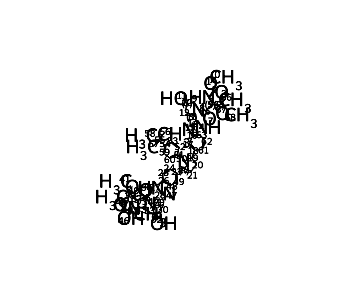 COC(=O)N[C@H](C(=O)N1C[C@@H](O)C[C@H]1c1nc2cc(C3CC[C@H](c4ccc5[nH]c([C@@H]6C[C@H](O)CN6C(=O)[C@H]([C@@H](C)OC)N(C)C(=O)O)nc5c4)N3c3ccc(C(C)(C)C)cc3)ccc2[nH]1)[C@@H](C)OC